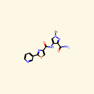 CCn1cc(NC(=O)c2csc(-c3cccnc3)n2)c(C(N)=O)n1